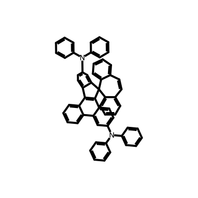 C1=Cc2ccccc2C2(c3ccccc31)c1cc(N(c3ccccc3)c3ccccc3)ccc1-c1c2c2ccc(N(c3ccccc3)c3ccccc3)cc2c2ccccc12